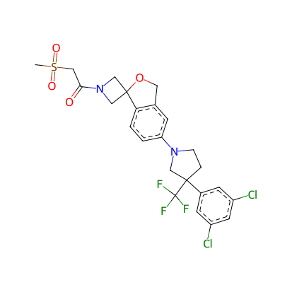 CS(=O)(=O)CC(=O)N1CC2(C1)OCc1cc(N3CCC(c4cc(Cl)cc(Cl)c4)(C(F)(F)F)C3)ccc12